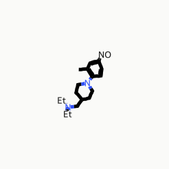 CCN(CC)CC1CCN(c2ccc(N=O)cc2C)CC1